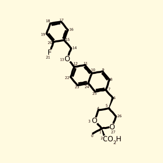 C[C@]1(C(=O)O)OC[C@@H](Cc2ccc3cc(OCc4ccccc4F)ccc3c2)CO1